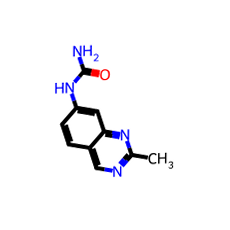 Cc1ncc2ccc(NC(N)=O)cc2n1